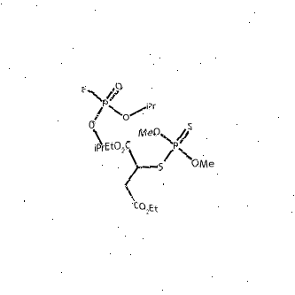 CC(C)OP(=O)(F)OC(C)C.CCOC(=O)CC(SP(=S)(OC)OC)C(=O)OCC